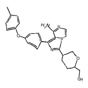 Cc1ccc(Oc2ccc(-c3nc(C4CCC(CO)OC4)n4ccnc(N)c34)cc2)cc1